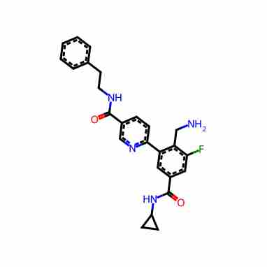 NCc1c(F)cc(C(=O)NC2CC2)cc1-c1ccc(C(=O)NCCc2ccccc2)cn1